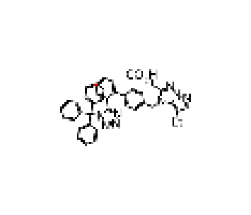 CCc1cnn2nc(CC(=O)O)n(Cc3ccc(-c4ccccc4-c4nnnn4C(c4ccccc4)(c4ccccc4)c4ccccc4)cc3)c12